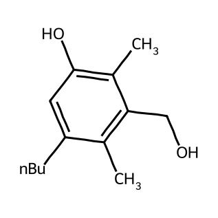 CCCCc1cc(O)c(C)c(CO)c1C